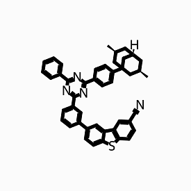 C[C@@H]1C[C@@H]2C[C@H](C)CC(c3ccc(-c4nc(-c5ccccc5)nc(-c5cccc(-c6ccc7sc8ccc(C#N)cc8c7c6)c5)n4)cc3)(C1)C2